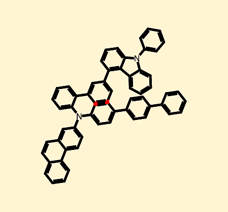 c1ccc(-c2ccc(-c3ccc(N(c4ccc5c(ccc6ccccc65)c4)c4ccccc4-c4cccc(-c5cccc6c5c5ccccc5n6-c5ccccc5)c4)cc3)cc2)cc1